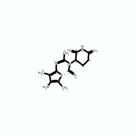 C/C(=N/c1sc(C)c(N)c1C)N(C=O)C1CCC(=O)NC1=O